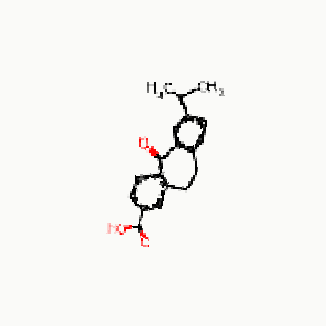 CC(C)c1ccc2c(c1)C(=O)c1ccc(C(=O)O)cc1CC2